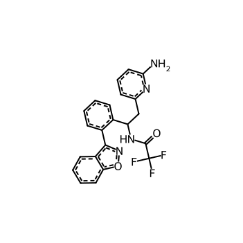 Nc1cccc(CC(NC(=O)C(F)(F)F)c2ccccc2-c2noc3ccccc23)n1